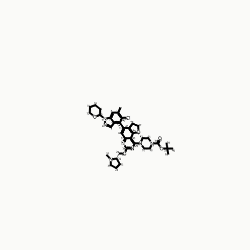 Cc1cc2c(cnn2C2CCCCO2)c(-c2cc3nc(OC[C@@H]4CCCN4C)nc(N4CCN(C(=O)OC(C)(C)C)CC4)c3c3c2CCO3)c1Cl